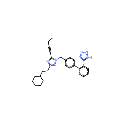 CCC#Cc1nc(CCC2CCCCC2)nn1Cc1ccc(-c2ccccc2-c2nnn[nH]2)cc1